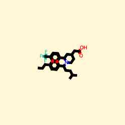 CCCc1ccc(C(CCC(C)C)N2CCC(CC(=O)O)CC2c2ccc(C(F)(F)F)cc2)cc1